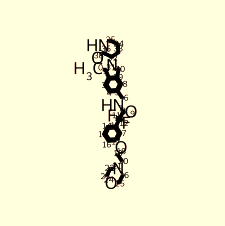 CC1c2ccc(CNC(=O)C(F)(F)c3cccc(OCCN4CCOCC4)c3)cc2CN1C1CCCNC1=O